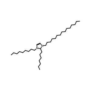 CCCCCCCCCCCCCCCN1C=CN(CCCCCCCCC)C1CCCCCCC